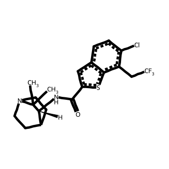 CC1(C)[C@H](NC(=O)c2cc3ccc(Cl)c(CC(F)(F)F)c3s2)C2CCN1CC2